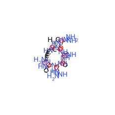 CC(=O)N[C@@H](CCCNC(=N)N)C(=O)N[C@H]1CC(=O)NCCCCC(C(N)=O)NC(=O)[C@H](Cc2c[nH]c3ccccc23)NC(=O)[C@H](CCCNC(=N)N)NC(=O)[C@@H](Cc2ccccc2)NC(=O)[C@H](Cc2c[nH]cn2)NC1=O